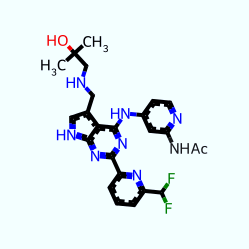 CC(=O)Nc1cc(Nc2nc(-c3cccc(C(F)F)n3)nc3[nH]cc(CNCC(C)(C)O)c23)ccn1